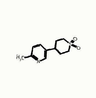 Cc1ccc(C2CCS(=O)(=O)CC2)cn1